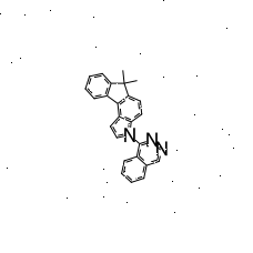 CC1(C)c2ccccc2-c2c1ccc1c2ccn1-c1nncc2ccccc12